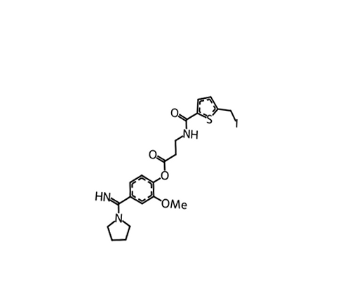 COc1cc(C(=N)N2CCCC2)ccc1OC(=O)CCNC(=O)c1ccc(CI)s1